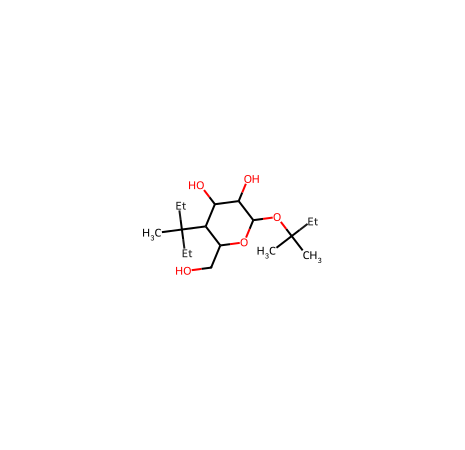 CCC(C)(C)OC1OC(CO)C(C(C)(CC)CC)C(O)C1O